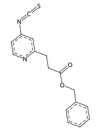 O=C(CCc1cc(N=C=S)ccn1)OCc1ccccc1